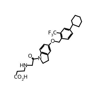 O=C(O)CCNCC(=O)N1CCc2cc(OCc3ccc(C4CCCCC4)cc3C(F)(F)F)ccc21